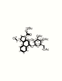 CC(=O)OC[C@H]1O[C@@H](Oc2cc3c(c4ccccc24)[C@H](CCl)CN3C(=O)OC(C)(C)C)[C@H](OC(C)=O)[C@@H](OC(C)=O)[C@H]1OC(C)=O